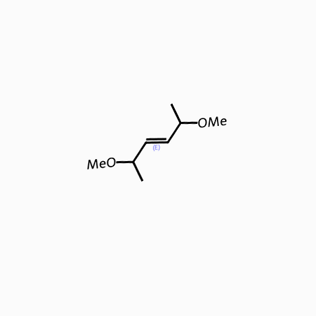 COC(C)/C=C/C(C)OC